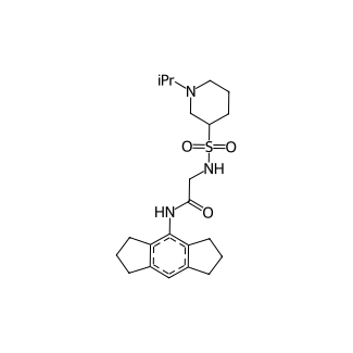 CC(C)N1CCCC(S(=O)(=O)NCC(=O)Nc2c3c(cc4c2CCC4)CCC3)C1